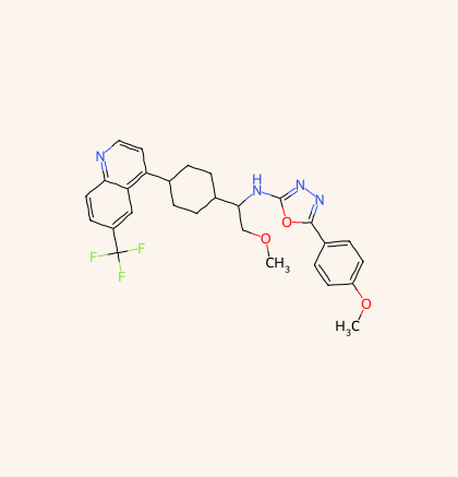 COCC(Nc1nnc(-c2ccc(OC)cc2)o1)C1CCC(c2ccnc3ccc(C(F)(F)F)cc23)CC1